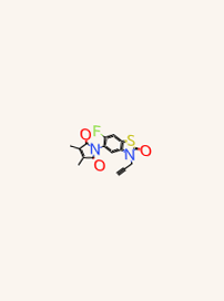 C#CCn1c(=O)sc2cc(F)c(N3C(=O)C(C)=C(C)C3=O)cc21